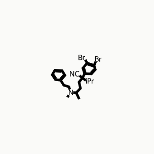 CC(CCC(C#N)(c1ccc(Br)c(Br)c1)C(C)C)N(C)CCc1ccccc1